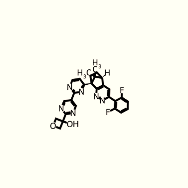 CC1(C)[C@H]2CC[C@@]1(c1ccnc(-c3cnc(C4(O)COC4)nc3)n1)c1nnc(-c3c(F)cccc3F)cc12